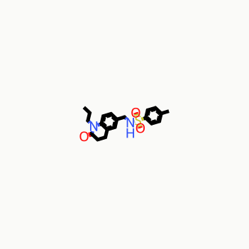 CCCN1C(=O)CCc2cc(CNS(=O)(=O)c3ccc(C)cc3)ccc21